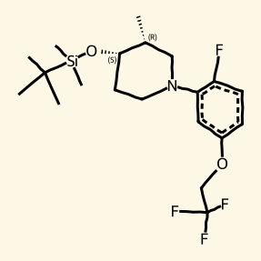 C[C@@H]1CN(c2cc(OCC(F)(F)F)ccc2F)CC[C@@H]1O[Si](C)(C)C(C)(C)C